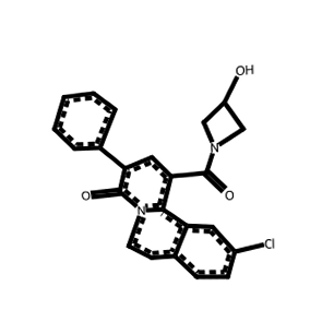 O=C(c1cc(-c2ccccc2)c(=O)n2ccc3ccc(Cl)cc3c12)N1CC(O)C1